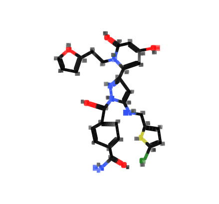 NC(=O)c1ccc(C(=O)n2nc(-c3cc(O)cc(=O)n3CCc3ccco3)cc2NCc2ccc(Cl)s2)cc1